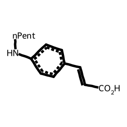 CCCCCNc1ccc(C=CC(=O)O)cc1